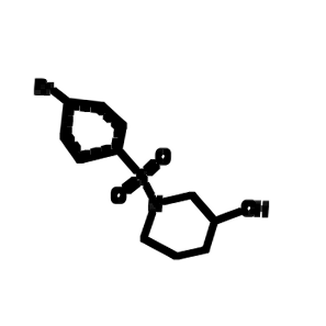 O=S(=O)(c1ccc(Br)cc1)N1CCCC(O)C1